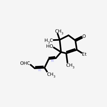 CCC1=C(C)C(O)(/C=C/C(C)=C\C=O)C(C)(C)CC1=O